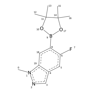 Cn1ncc2cc(F)c(B3OC(C)(C)C(C)(C)O3)cc21